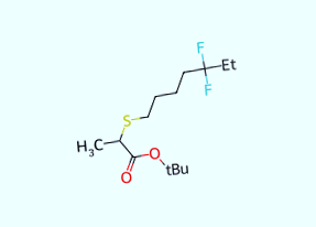 CCC(F)(F)CCCCSC(C)C(=O)OC(C)(C)C